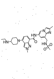 CCNC1CCN(c2ccc(C(=O)Nc3cc(CNS(C)(=O)=O)c4nc(C)cn4c3)c3nn(C)cc23)CC1